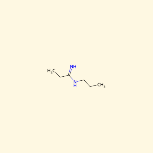 CCCNC(=N)CC